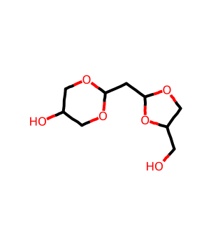 OCC1COC(CC2OCC(O)CO2)O1